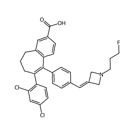 O=C(O)c1ccc2c(c1)CCCC(c1ccc(Cl)cc1Cl)=C2c1ccc(C=C2CN(CCCF)C2)cc1